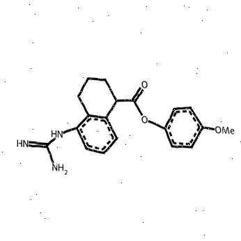 COc1ccc(OC(=O)C2CCCc3c(NC(=N)N)cccc32)cc1